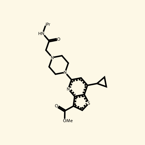 COC(=O)c1csc2c(C3CC3)cc(N3CCN(CC(=O)NC(C)C)CC3)nc12